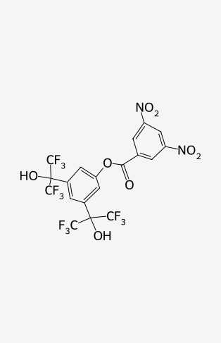 O=C(Oc1cc(C(O)(C(F)(F)F)C(F)(F)F)cc(C(O)(C(F)(F)F)C(F)(F)F)c1)c1cc([N+](=O)[O-])cc([N+](=O)[O-])c1